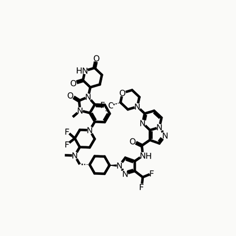 CN(C[C@H]1CC[C@H](n2cc(NC(=O)c3cnn4ccc(N5CCO[C@@H](C(F)(F)F)C5)nc34)c(C(F)F)n2)CC1)C1CCN(c2cccc3c2n(C)c(=O)n3C2CCC(=O)NC2=O)CC1(F)F